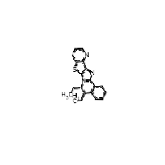 C/C=c1\c(=C/C)n2c(nc3c4ncccc4sc32)c2ccccc12